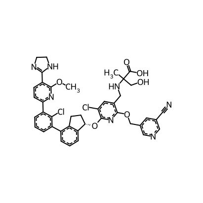 COc1nc(-c2cccc(-c3cccc4c3CC[C@@H]4Oc3nc(OCc4cncc(C#N)c4)c(CNC(C)(CO)C(=O)O)cc3Cl)c2Cl)ccc1C1=NCCN1